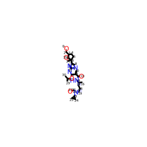 COCC12CCC(c3cn4cc(C(=O)N/C(C)=C/C=C\N(C=O)C5CC5)c(OC(C)C)nc4n3)(CO1)C2